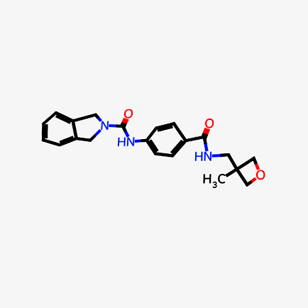 CC1(CNC(=O)c2ccc(NC(=O)N3Cc4ccccc4C3)cc2)COC1